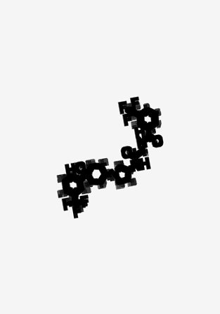 O=C(CNC(=O)c1cccc(C(F)(F)F)c1)NC1CCN(C2CCC(O)(c3cccc(C(F)(F)F)c3)CC2)C1